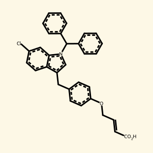 O=C(O)/C=C/COc1ccc(Cc2cn(C(c3ccccc3)c3ccccc3)c3cc(Cl)ccc23)cc1